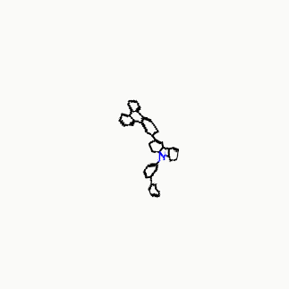 C1=CC2C3C=C(C4C=c5c(c6ccccc6c6ccccc56)=CC4)CCC3N(c3cccc(-c4ccccc4)c3)C2CC1